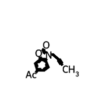 CC#CCn1c(=O)oc2cc(C(C)=O)ccc21